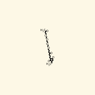 CCC1CC(=O)C(CCCC(=O)CCCOCCOCCOCCOCCC(C)=O)C1=O